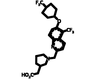 O=C(O)CC1CCCN(Cc2ccc3c(C(F)(F)F)c(OC4CCC(C(F)(F)F)CC4)ccc3n2)C1